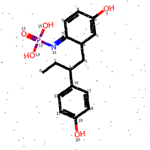 CCC(CC1C=C(O)C=CC1=NP(=O)(O)O)c1ccc(O)cc1